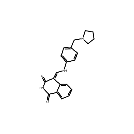 O=C1NC(=O)c2ccccc2/C1=C\Nc1ccc(CN2CCCC2)cc1